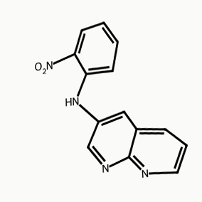 O=[N+]([O-])c1ccccc1Nc1cnc2ncccc2c1